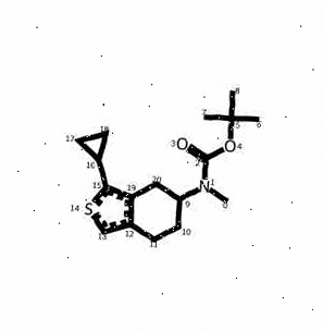 CN(C(=O)OC(C)(C)C)C1CCc2csc(C3CC3)c2C1